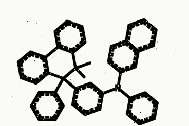 CC1(C)c2ccccc2-c2ccccc2C1(c1ccccc1)c1cccc(N(c2ccccc2)c2ccc3ccccc3c2)c1